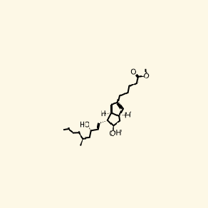 CCCC[C@H](C)C[C@H](O)/C=C/[C@@H]1[C@H]2CC(CCCCC(=O)OC)=C[C@H]2C[C@H]1O